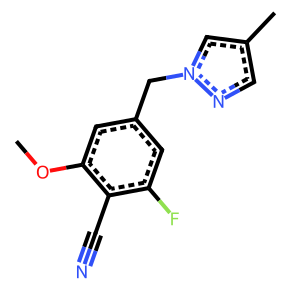 COc1cc(Cn2cc(C)cn2)cc(F)c1C#N